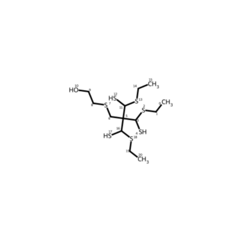 CCSC(S)C(CSCCO)(C(S)SCC)C(S)SCC